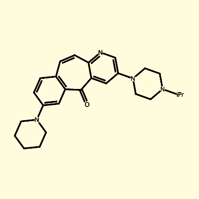 CC(C)N1CCN(c2cnc3ccc4ccc(N5CCCCC5)cc4c(=O)c3c2)CC1